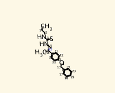 C=CCNC(=S)N/N=C(\C)c1ccc(OCc2ccccc2)cc1